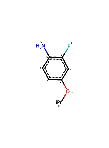 CC(C)Oc1ccc(N)c(F)c1